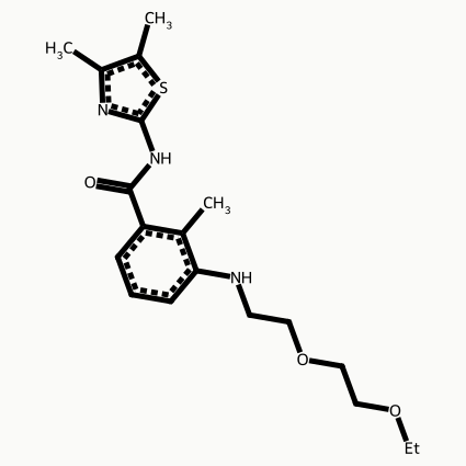 CCOCCOCCNc1cccc(C(=O)Nc2nc(C)c(C)s2)c1C